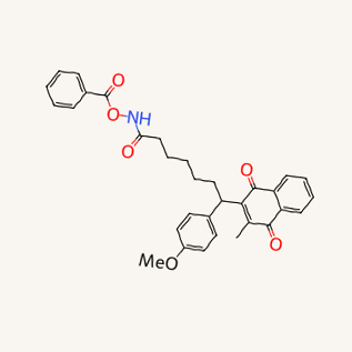 COc1ccc(C(CCCCCC(=O)NOC(=O)c2ccccc2)C2=C(C)C(=O)c3ccccc3C2=O)cc1